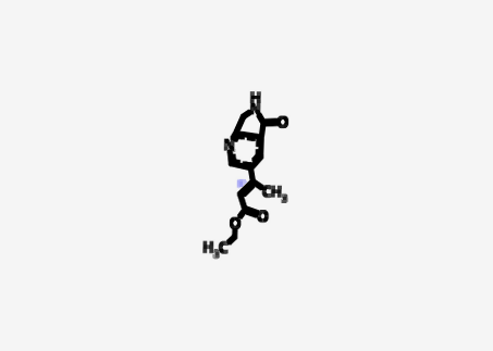 CCOC(=O)/C=C(\C)c1cnc2c(c1)C(=O)NC2